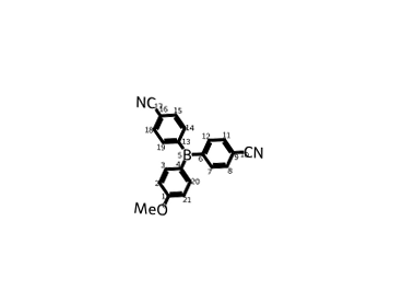 COc1ccc(B(c2ccc(C#N)cc2)c2ccc(C#N)cc2)cc1